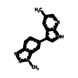 Cc1cnc2[nH]cc(-c3ccc4nnn(C)c4c3)c2c1